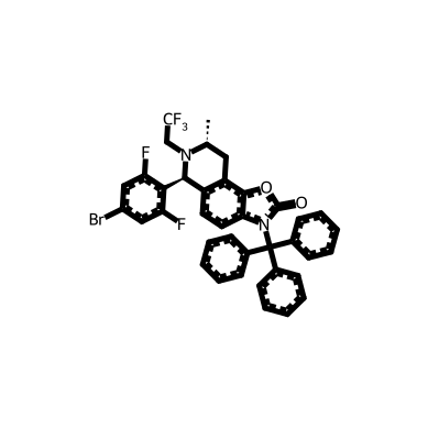 C[C@@H]1Cc2c(ccc3c2oc(=O)n3C(c2ccccc2)(c2ccccc2)c2ccccc2)[C@@H](c2c(F)cc(Br)cc2F)N1CC(F)(F)F